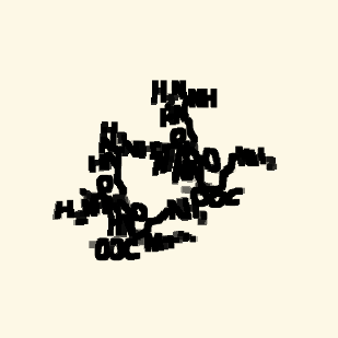 C[C@H](N)C(=O)N[C@@H](CCCNC(=N)N)C(=O)N[C@@H](CCCCN)C(=O)[O-].C[C@H](N)C(=O)N[C@@H](CCCNC(=N)N)C(=O)N[C@@H](CCCCN)C(=O)[O-].[Mn+2]